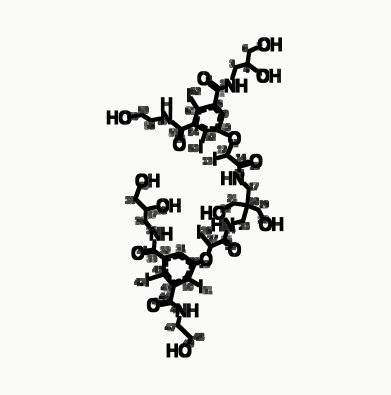 O=C(NCC(O)CO)c1cc(OC(I)C(=O)NCC(CO)(CO)CNC(=O)C(I)Oc2cc(C(=O)NCC(O)CO)c(I)c(C(=O)NCCO)c2I)c(I)c(C(=O)NCCO)c1I